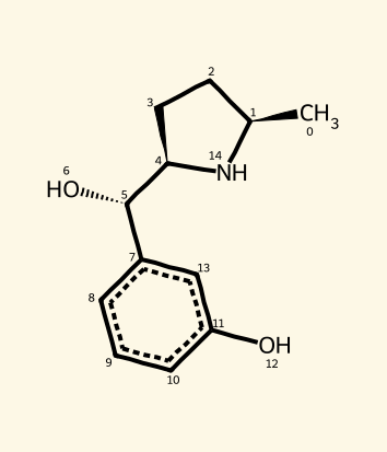 C[C@@H]1CC[C@H]([C@@H](O)c2cccc(O)c2)N1